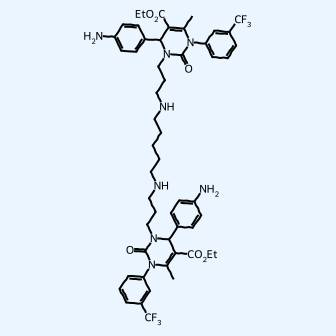 CCOC(=O)C1=C(C)N(c2cccc(C(F)(F)F)c2)C(=O)N(CCCNCCCCCNCCCN2C(=O)N(c3cccc(C(F)(F)F)c3)C(C)=C(C(=O)OCC)C2c2ccc(N)cc2)C1c1ccc(N)cc1